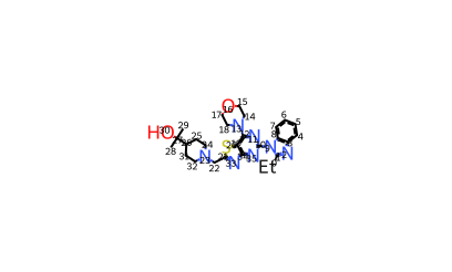 CCc1nc2ccccc2n1-c1nc(N2CCOCC2)c2sc(CN3CCC(C(C)(C)O)CC3)nc2n1